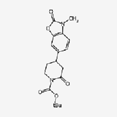 Cn1c(=O)oc2cc(C3CCN(C(=O)OC(C)(C)C)C(=O)C3)ccc21